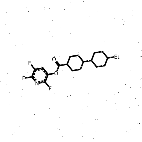 CCC1CCC(C2CCC(C(=O)Oc3cc(F)c(F)nc3F)CC2)CC1